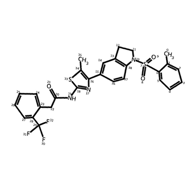 Cc1ccccc1S(=O)(=O)N1CCc2cc(-c3nc(NC(=O)Cc4ccccc4C(F)(F)F)sc3C)ccc21